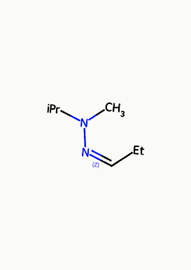 CC/C=N\N(C)C(C)C